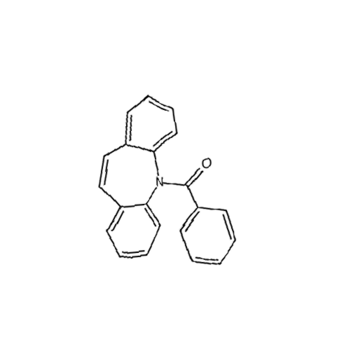 O=C(c1ccccc1)N1c2ccccc2C=Cc2ccccc21